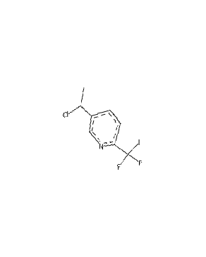 CC(Cl)c1ccc(C(F)(F)I)nc1